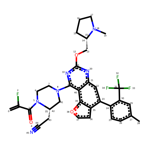 C=C(F)C(=O)N1CCN(c2nc(OC[C@@H]3CCCN3C)nc3cc(-c4ccc(C)cc4C(F)(F)F)c4ccoc4c23)C[C@@H]1CC#N